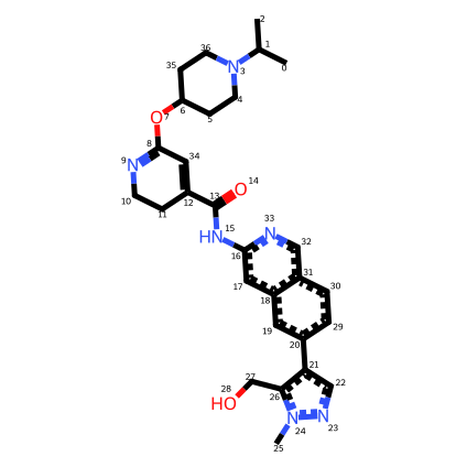 CC(C)N1CCC(OC2=NCCC(C(=O)Nc3cc4cc(-c5cnn(C)c5CO)ccc4cn3)=C2)CC1